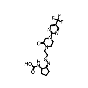 O=C(O)NC1CCCC1=NOCCN1CCN(c2ncc(C(F)(F)F)cn2)CC1=O